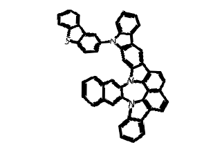 c1ccc2cc3c(cc2c1)n1c2ccccc2c2ccc4ccc5c6cc7c8ccccc8n(-c8ccc9sc%10ccccc%10c9c8)c7cc6n3c5c4c21